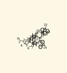 CCC[C@@H](C)[C@H]1CC[C@H]2[C@@H]3C[C@H](OC(C)=O)C4C[C@@](Cl)(OC(C)=O)CC[C@]4(C)[C@H]3CC[C@]12C